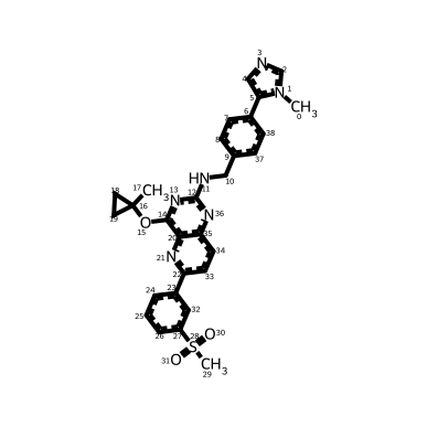 Cn1cncc1-c1ccc(CNc2nc(OC3(C)CC3)c3nc(-c4cccc(S(C)(=O)=O)c4)ccc3n2)cc1